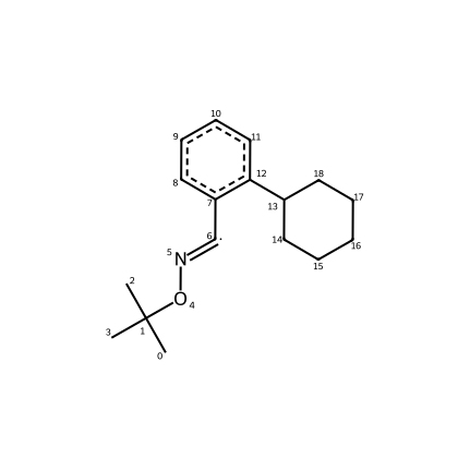 CC(C)(C)O/N=[C]/c1ccccc1C1CCCCC1